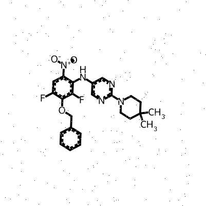 CC1(C)CCN(c2ncc(Nc3c([N+](=O)[O-])cc(F)c(OCc4ccccc4)c3F)cn2)CC1